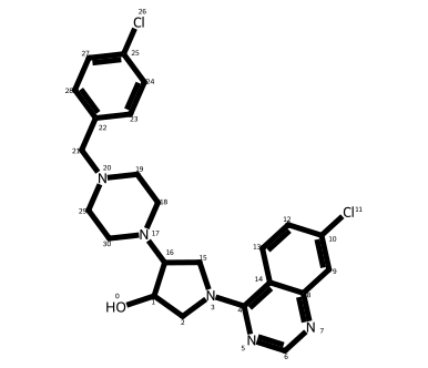 OC1CN(c2ncnc3cc(Cl)ccc23)CC1N1CCN(Cc2ccc(Cl)cc2)CC1